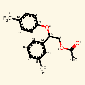 CCC(=O)OCC(Oc1ccc(C(F)(F)F)cc1)c1cccc(C(F)(F)F)c1